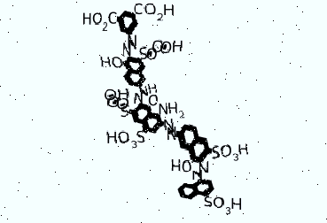 Nc1c(N=Nc2ccc3cc(S(=O)(=O)O)c(N=Nc4ccc(S(=O)(=O)O)c5ccccc45)c(O)c3c2)cc(S(=O)(=O)O)c2cc(SOOO)c(N=Nc3ccc4c(O)c(N=Nc5cc(C(=O)O)cc(C(=O)O)c5)c(SOOO)cc4c3)c(O)c12